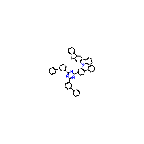 CC1(C)c2ccccc2-c2cc3c4ccccc4n(-c4cc(-c5nc(-c6cccc(-c7ccccc7)c6)nc(-c6cccc(-c7ccccc7)c6)n5)ccc4-c4ccccc4)c3cc21